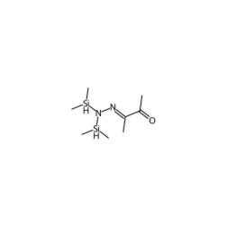 CC(=O)C(C)=NN([SiH](C)C)[SiH](C)C